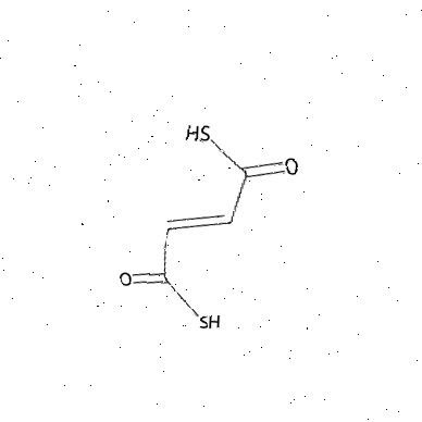 O=C(S)/C=C/C(=O)S